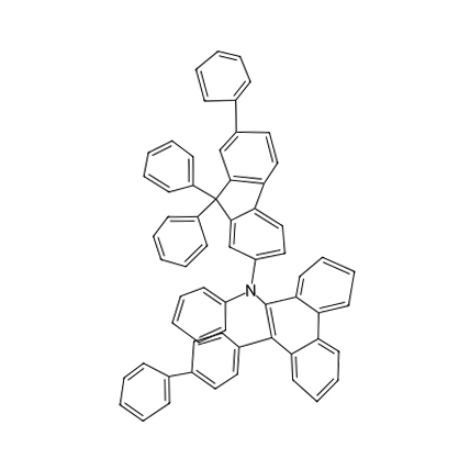 c1ccc(-c2ccc(-c3c(N(c4ccccc4)c4ccc5c(c4)C(c4ccccc4)(c4ccccc4)c4cc(-c6ccccc6)ccc4-5)c4ccccc4c4ccccc34)cc2)cc1